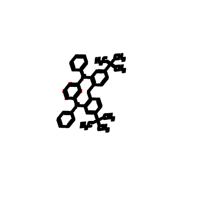 CC(C)(C)c1ccc(Cc2ccc(C(C)(C)C)cc2P(c2ccccc2)c2ccccc2)c(P(c2ccccc2)c2ccccc2)c1